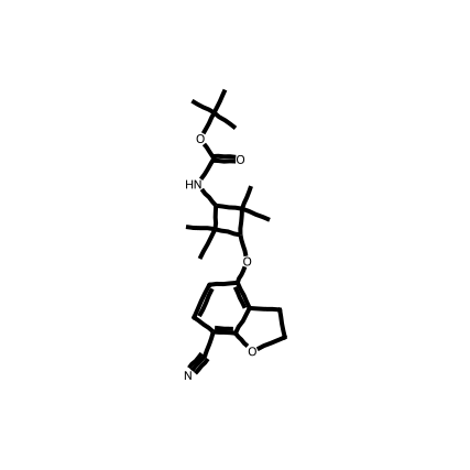 CC(C)(C)OC(=O)NC1C(C)(C)C(Oc2ccc(C#N)c3c2CCO3)C1(C)C